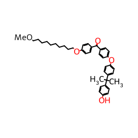 COCCCCCCCCCCOc1ccc(C(=O)c2ccc(Oc3ccc(C(C)(C)c4ccc(O)cc4)cc3)cc2)cc1